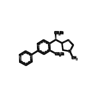 CCOC(=O)c1cc(-c2ccccc2)ccc1C(C(=O)OCC)C1CCN(C)C1